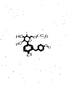 CCOC(=O)OCC1OC(c2ccc(Cl)c(Cc3ccc(OCC)cc3)c2)C(O)C(O)C1F